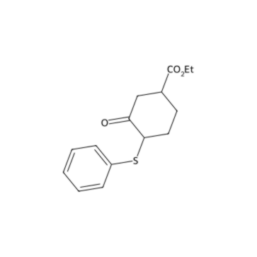 CCOC(=O)C1CCC(Sc2ccccc2)C(=O)C1